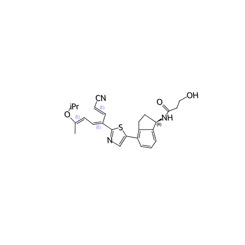 C\C(=C/C=C(\C=C\C#N)c1ncc(-c2cccc3c2CC[C@H]3NC(=O)CCO)s1)OC(C)C